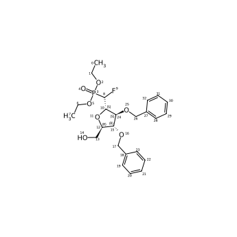 CCOP(=O)(OCC)C(F)[C@H]1O[C@H](CO)[C@@H](OCc2ccccc2)[C@@H]1OCc1ccccc1